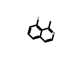 Cc1nccc2cccc(F)c12